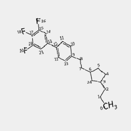 CCCC1CCC(CCc2ccc(-c3cc(F)c(F)c(F)c3)cc2)C1